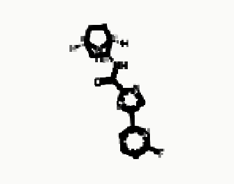 O=C(N[C@@H]1C[C@H]2CC[C@@H]1N2)c1ncc(-c2cccc(F)n2)s1